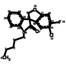 CCCCCN1C(=O)C2(COc3cc(F)c(Cl)cc32)c2ccccc21